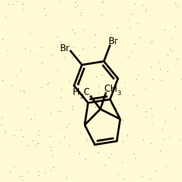 CC1(C)C2C=CC1c1cc(Br)c(Br)cc12